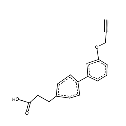 C#CCOc1cccc(-c2ccc(CCC(=O)O)cc2)c1